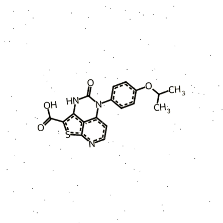 CC(C)Oc1ccc(N2C(=O)Nc3c(C(=O)O)sc4nccc2c34)cc1